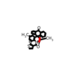 Cc1ccc2c(c1)C1(c3ccccc3C(=O)c3ccccc31)c1cc(C)ccc1N2C(=O)c1ccsc1Br